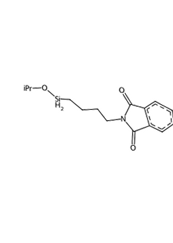 CC(C)O[SiH2]CCCCN1C(=O)c2ccccc2C1=O